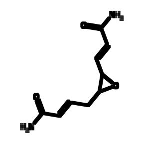 NC(=O)C=CCC1OC1C=CC(N)=O